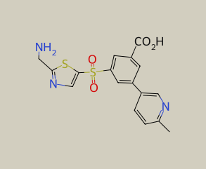 Cc1ccc(-c2cc(C(=O)O)cc(S(=O)(=O)c3cnc(CN)s3)c2)cn1